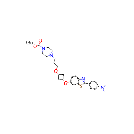 CN(C)c1ccc(-c2nc3ccc(OC4CC(OCCCN5CCN(C(=O)OC(C)(C)C)CC5)C4)cc3s2)cc1